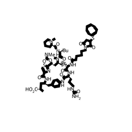 CC[C@H](C)[C@H](NC(=O)[C@H]1CCCCN1C)C(=O)N(C)[C@H](C[C@@H](OC(=O)NC)c1nc(C(=O)N[C@@H](Cc2ccc(NC(=O)[C@H](CCCNC(N)=O)NC(=O)[C@@H](NC(=O)CCCCCN3C(=O)CC(SC4=C/C=C\C=C/C=C\4)C3=O)C(C)C)cc2)C[C@H](C)C(=O)O)cs1)C(C)C